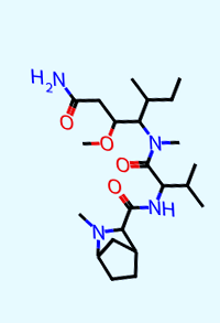 CCC(C)C(C(CC(N)=O)OC)N(C)C(=O)C(NC(=O)C1C2CCC(C2)N1C)C(C)C